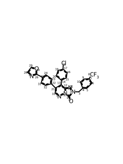 O=c1n(Cc2ccc(C(F)(F)F)cc2)nc2c(-c3ccc(Cl)cc3)c(-c3ccc(-c4ncco4)cc3)cnn12